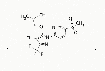 CC(C)COc1c(Cl)c(C(F)(F)F)nn1-c1ccc(S(C)(=O)=O)cn1